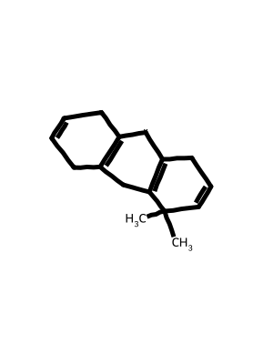 CC1(C)C=CCC2=C1CC1=C([C]2)CC=CC1